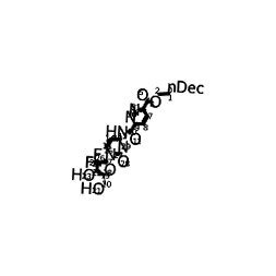 CCCCCCCCCCCCOC(=O)c1ccc(C(=O)Nc2ccn([C@@H]3O[C@H](CO)[C@@H](O)C3(F)F)c(=O)n2)nn1